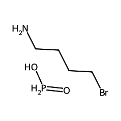 NCCCCBr.O=[PH2]O